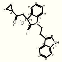 O=C(C[C@]1(O)C(=O)N(CCc2c[nH]c3ccccc23)c2ccccc21)C1CC1